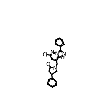 O=C1CC(c2ccccc2)CN1Cc1cc(Cl)nn2c(-c3ccccc3)nnc12